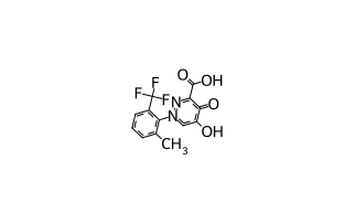 Cc1cccc(C(F)(F)F)c1-n1cc(O)c(=O)c(C(=O)O)n1